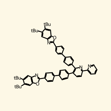 CC(C)(C)c1cc2nc(-c3ccc(-c4ccc(-c5ccc(-c6ccccn6)nc5-c5ccc(-c6ccc(-c7nc8cc(C(C)(C)C)c(C(C)(C)C)cc8o7)cc6)cc5)cc4)cc3)oc2cc1C(C)(C)C